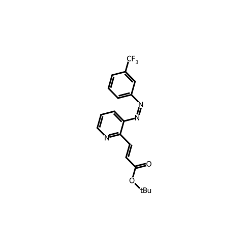 CC(C)(C)OC(=O)/C=C/c1ncccc1/N=N\c1cccc(C(F)(F)F)c1